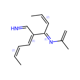 C=C(C)/N=C(\C=C/C)C(/C=N)=C/C=C\C